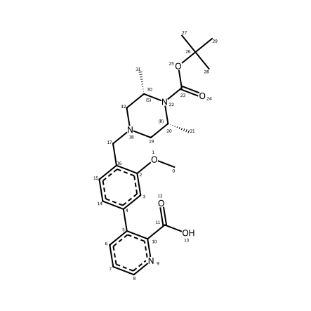 COc1cc(-c2cccnc2C(=O)O)ccc1CN1C[C@@H](C)N(C(=O)OC(C)(C)C)[C@@H](C)C1